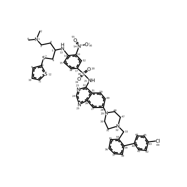 CN(C)CCC(CSc1cccs1)Nc1ccc(S(=O)(=O)Nc2ncnc3cc(N4CCN(Cc5ccccc5-c5ccc(Cl)cc5)CC4)ccc23)cc1[N+](=O)[O-]